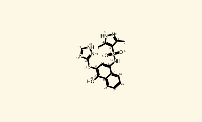 Cc1n[nH]c(C)c1S(=O)(=O)Nc1cc(Sc2nc[nH]n2)c(O)c2ccccc12